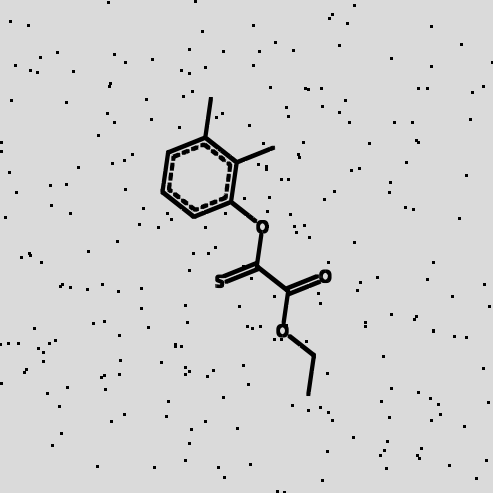 CCOC(=O)C(=S)Oc1cccc(C)c1C